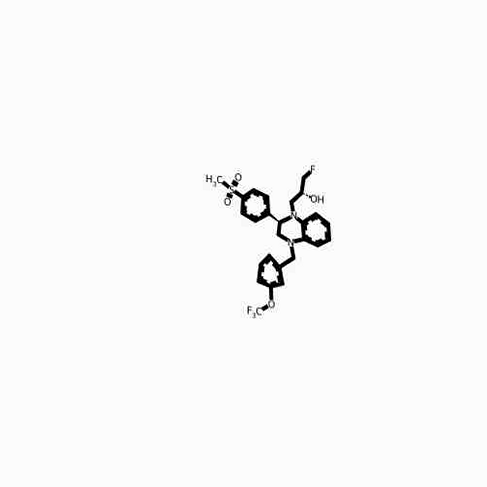 CS(=O)(=O)c1ccc([C@@H]2CN(Cc3cccc(OC(F)(F)F)c3)c3ccccc3N2C[C@@H](O)CF)cc1